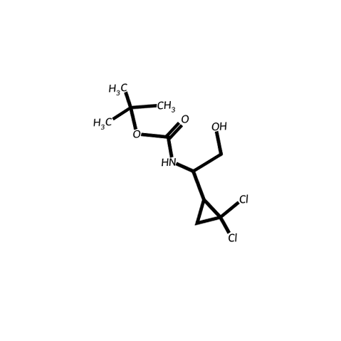 CC(C)(C)OC(=O)NC(CO)C1CC1(Cl)Cl